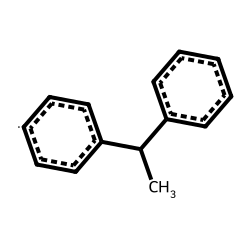 CC(c1cc[c]cc1)c1ccccc1